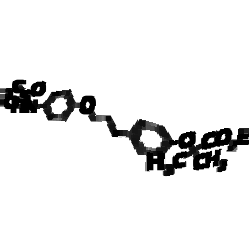 CCOC(=O)C(C)(C)Oc1ccc(CCCOc2ccc(NS(C)(=O)=O)cc2)cc1